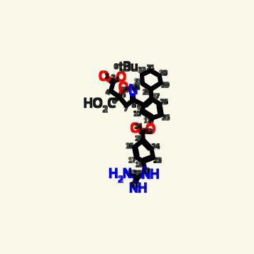 CC(C)(C)OC(=O)CC1(C(=O)O)CC(c2cc(OC(=O)c3ccc(NC(=N)N)cc3)ccc2C2CCCCC2)=NO1